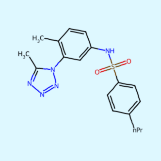 CCCc1ccc(S(=O)(=O)Nc2ccc(C)c(-n3nnnc3C)c2)cc1